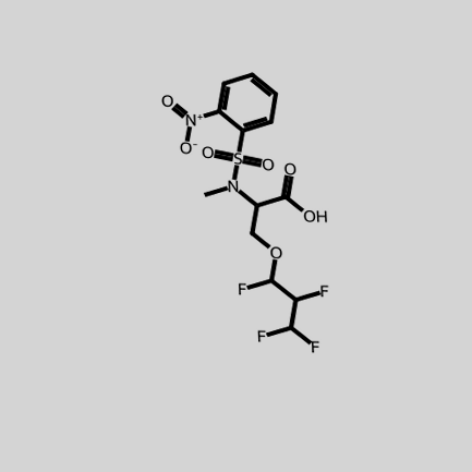 CN(C(COC(F)C(F)C(F)F)C(=O)O)S(=O)(=O)c1ccccc1[N+](=O)[O-]